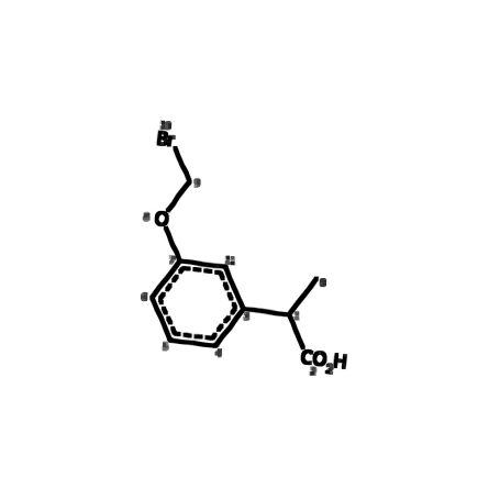 CC(C(=O)O)c1cccc(OCBr)c1